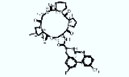 C[C@@H]1C[C@H]2C(=O)O[C@@H](C)[C@H](NC(=O)[C@H](Cc3cc(F)cc(F)c3)NC(=O)Nc3ccc(C(F)(F)F)cc3)C(=O)N3CCC[C@H]3C(=O)N3CCCC[C@H]3C(=O)N[C@@H](C)C(=O)N2C1